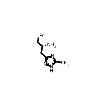 CC(C)C[C@H](N)Cc1n[nH]c(C(F)(F)F)n1